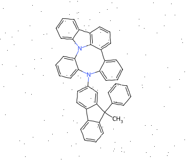 CC1(c2ccccc2)c2ccccc2-c2ccc(-n3c4ccccc4c4cccc5c6ccccc6n(c6ccccc63)c45)cc21